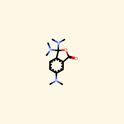 CN(C)c1ccc2c(c1)C(=O)OC2(N(C)C)N(C)C